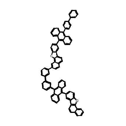 c1ccc(-c2ccc(-c3c4ccccc4c(-c4ccc5oc6c7cc(-c8cccc(-c9cccc(-c%10c%11ccccc%11c(-c%11ccc%12oc%13c%14ccccc%14ccc%13c%12c%11)c%11ccccc%10%11)c9)c8)ccc7ccc6c5c4)c4ccccc34)cc2)cc1